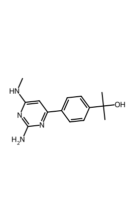 CNc1cc(-c2ccc(C(C)(C)O)cc2)nc(N)n1